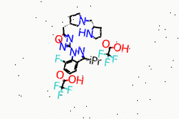 CC(C)c1nn(-c2noc(C[C@@H]3CCN(C[C@@H]4CCCN4)C3)n2)c2c(F)cccc12.O=C(O)C(F)(F)F.O=C(O)C(F)(F)F